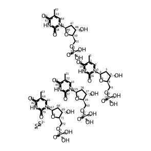 Cc1cn([C@H]2C[C@H](O)[C@@H](COP(=O)(O)O)O2)c(=O)[nH]c1=O.Cc1cn([C@H]2C[C@H](O)[C@@H](COP(=O)(O)O)O2)c(=O)[nH]c1=O.Cc1cn([C@H]2C[C@H](O)[C@@H](COP(=O)(O)O)O2)c(=O)[nH]c1=O.Cc1cn([C@H]2C[C@H](O)[C@@H](COP(=O)(O)O)O2)c(=O)[nH]c1=O.[S-2].[S-2]